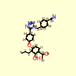 CCCc1c(Oc2ccc(-c3nnnn3Cc3ccc(C#N)cc3)cc2)ccc(C(C)=O)c1O